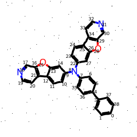 c1ccc(-c2ccc(N(c3ccc4c(c3)oc3cnccc34)c3ccc4c(c3)oc3cnccc34)cc2)cc1